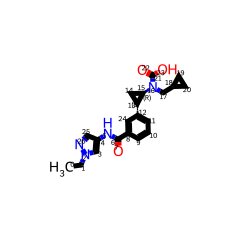 CCn1cc(NC(=O)c2cccc([C@@H]3C[C@H]3N(CC3CC3)C(=O)O)c2)cn1